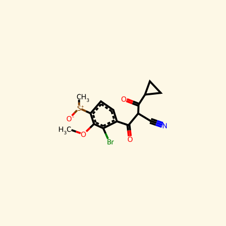 COc1c([S+](C)[O-])ccc(C(=O)C(C#N)C(=O)C2CC2)c1Br